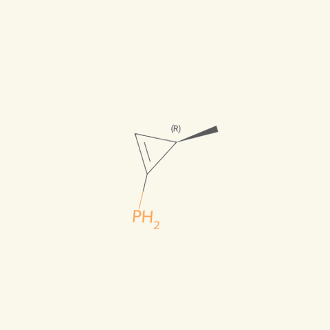 C[C@@H]1C=C1P